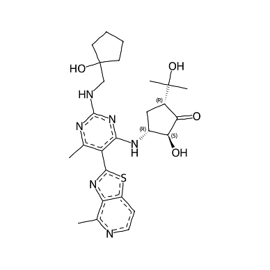 Cc1nc(NCC2(O)CCCC2)nc(N[C@@H]2C[C@H](C(C)(C)O)C(=O)[C@H]2O)c1-c1nc2c(C)nccc2s1